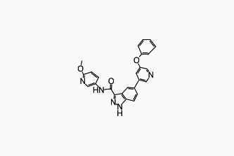 COc1ccc(NC(=O)c2n[nH]c3ccc(-c4cncc(Oc5ccccc5)c4)cc23)cn1